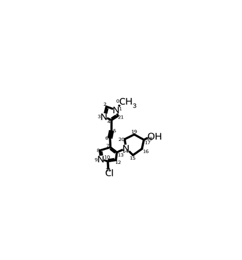 Cn1cnc(C#Cc2cnc(Cl)cc2N2CCC(O)CC2)c1